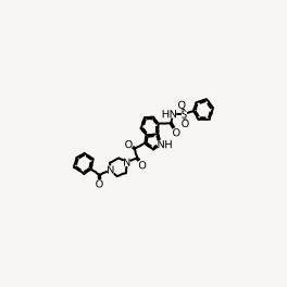 O=C(C(=O)N1CCN(C(=O)c2ccccc2)CC1)c1c[nH]c2c(C(=O)NS(=O)(=O)c3ccccc3)cccc12